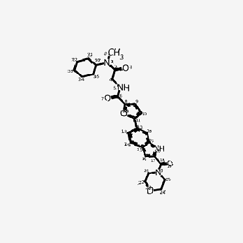 CN(C(=O)CNC(=O)c1ccc(-c2ccc3cc(C(=O)N4CCOCC4)[nH]c3c2)o1)C1CCCCC1